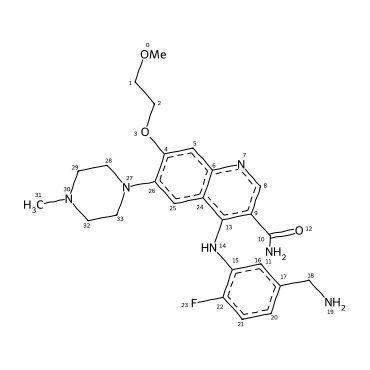 COCCOc1cc2ncc(C(N)=O)c(Nc3cc(CN)ccc3F)c2cc1N1CCN(C)CC1